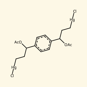 CC(=O)OC(C[CH2][Hg][Cl])c1ccc(C(C[CH2][Hg][Cl])OC(C)=O)cc1